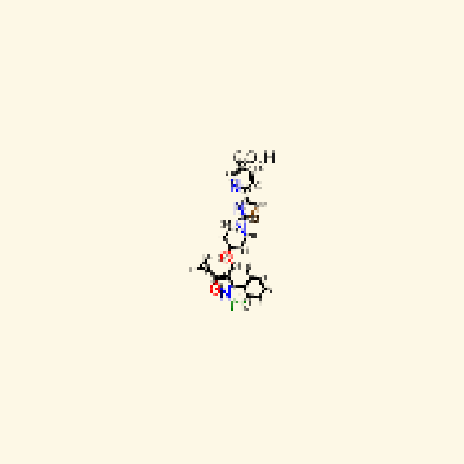 Cc1cccc(Cl)c1-c1noc(C2CC2)c1COC1CCN(c2nc(-c3ccc(C(=O)O)cn3)cs2)CC1